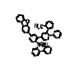 Cc1ccccc1C1=CC(c2cc(C3=CC4Oc5ccccc5C4C=C3)ccc2Nc2ccccc2-c2ccccc2O)=CCC1c1ccccc1